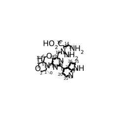 C[C@@H]1COC[C@H]2COc3c(CN(N)/C(=C\N)C(=O)O)nc(-c4ccnc5[nH]ccc45)nc3N21